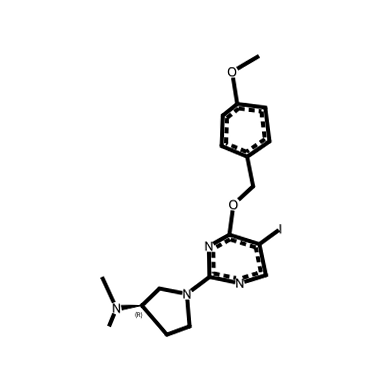 COc1ccc(COc2nc(N3CC[C@@H](N(C)C)C3)ncc2I)cc1